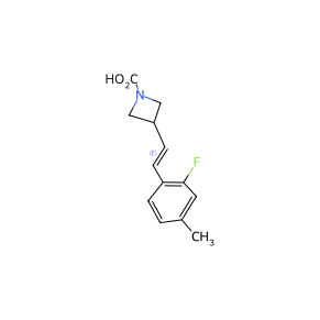 Cc1ccc(/C=C/C2CN(C(=O)O)C2)c(F)c1